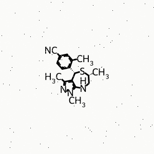 Cc1cc(C#N)ccc1[C@@H]1S[C@H](C)CNc2c1c(C)nn2C